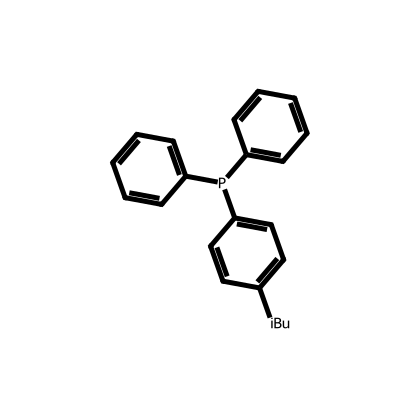 CCC(C)c1ccc(P(c2ccccc2)c2ccccc2)cc1